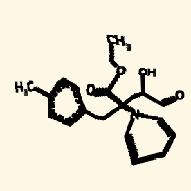 CCOC(=O)C(Cc1ccc(C)cc1)(C(O)C=O)N1C=CCC=C1